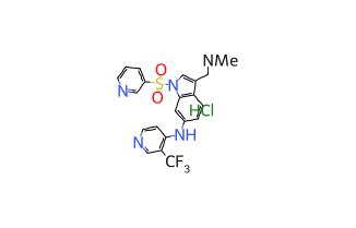 CNCc1cn(S(=O)(=O)c2cccnc2)c2cc(Nc3ccncc3C(F)(F)F)ccc12.Cl